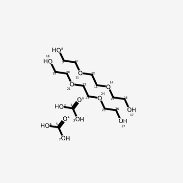 O=C(O)O.O=C(O)O.OCCOCCOCCO.OCCOCCOCCO